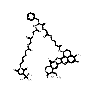 CC[C@@]1(O)C(=O)OCc2c1cc1n(c2=O)Cc2c-1nc1cc(F)c(C)c3c1c2[C@@H](NC(=O)CCCNC(=O)CNC(=O)[C@H](Cc1ccccc1)NC(=O)CNC(=O)CNC(=O)CCCCCN1C(=O)CC(C(C)(C)C)C1=O)CC3